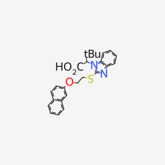 CC(C)(C)C(C(=O)O)n1c(SCCOc2ccc3ccccc3c2)nc2ccccc21